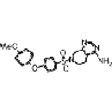 COc1ccc(Oc2ccc(S(=O)(=O)N3CCc4c(N)ncnc4C3)cc2)cc1